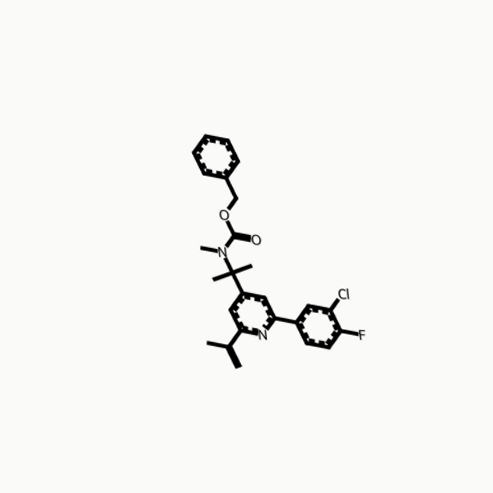 C=C(C)c1cc(C(C)(C)N(C)C(=O)OCc2ccccc2)cc(-c2ccc(F)c(Cl)c2)n1